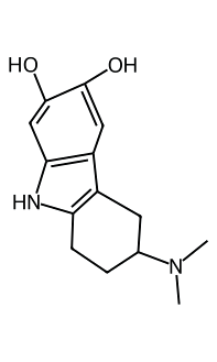 CN(C)C1CCc2[nH]c3cc(O)c(O)cc3c2C1